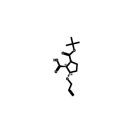 C=CCO[C@H]1CCN(C(=O)OC(C)(C)C)[C@@H]1C(=O)O